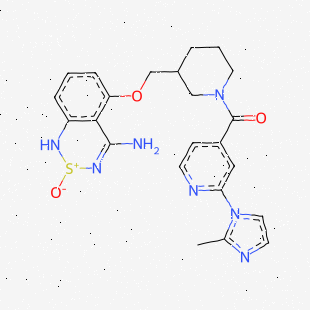 Cc1nccn1-c1cc(C(=O)N2CCCC(COc3cccc4c3C(N)=N[S+]([O-])N4)C2)ccn1